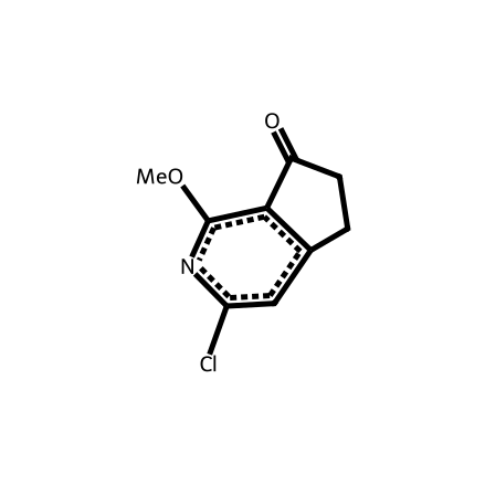 COc1nc(Cl)cc2c1C(=O)CC2